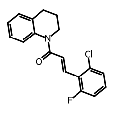 O=C(C=Cc1c(F)cccc1Cl)N1CCCc2ccccc21